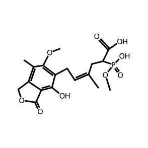 COc1c(C)c2c(c(O)c1CC=C(C)CC(C(=O)O)P(=O)(O)OC)C(=O)OC2